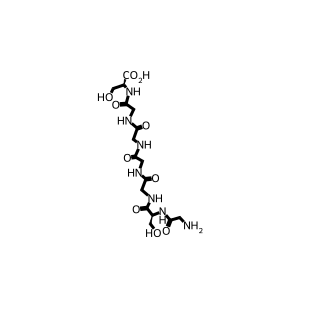 NCC(=O)N[C@@H](CO)C(=O)NCC(=O)NCC(=O)NCC(=O)NCC(=O)N[C@@H](CO)C(=O)O